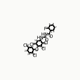 O=C(NC(=O)c1ccccc1F)Nc1cc(Cl)c(Oc2cc(Cl)ccc2Cl)c(Cl)c1Cl